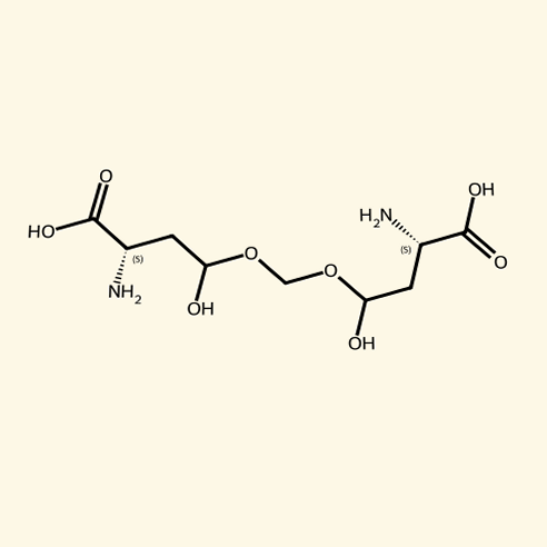 N[C@@H](CC(O)OCOC(O)C[C@H](N)C(=O)O)C(=O)O